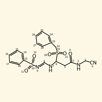 N#CCNC(=O)CC(NC=NS(=O)(=O)c1ccccc1)S(=O)(=O)Cc1ccccc1